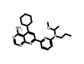 CCCN(c1cccc(-c2cc(C3CCCCC3)c3c(N)ncnc3n2)n1)C(C)OC